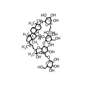 C[C@H](CC[C@@H](O[C@@H]1O[C@H](CO[C@@H]2O[C@H](CO)[C@@H](O)[C@H](O)[C@H]2O)[C@@H](O)[C@H](O)[C@H]1O[C@@H]1O[C@H](CO)[C@@H](O)[C@H](O)[C@H]1O)C(C)(C)O)[C@H]1CC[C@@]2(C)C3CC=C4[C@@H](CC[C@H](O[C@@H]5O[C@H](CCO)[C@@H](O)[C@H](O)[C@H]5O)C4(C)C)[C@]3(C)[C@H](O)C[C@]12C